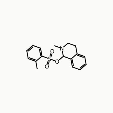 Cc1ccccc1S(=O)(=O)OC1c2ccccc2CCN1C